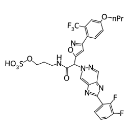 CCCOc1ccc(-c2cc(C(C(=O)NCCCOS(=O)(=O)O)n3cc4nc(-c5cccc(F)c5F)nc-4cn3)on2)c(C(F)(F)F)c1